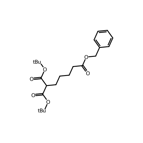 CC(C)(C)OC(=O)C(CCCCC(=O)OCc1ccccc1)C(=O)OC(C)(C)C